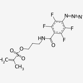 C=C(C)S(=O)(=O)OCCCNC(=O)c1c(F)c(F)c(N=[N+]=[N-])c(F)c1F